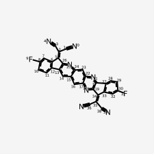 N#CC(C#N)=C1c2cc(F)ccc2-c2cc3cc4nc5c(nc4cc3nc21)-c1ccc(F)cc1C5=C(C#N)C#N